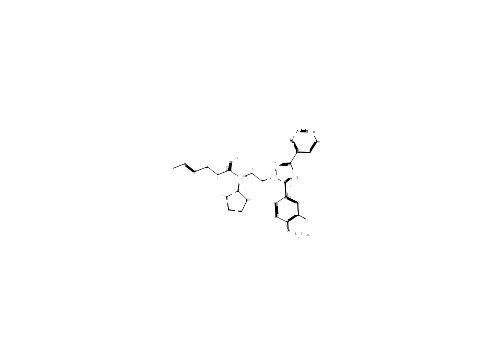 CC=CCCC(=O)N(CCn1nc(-c2ccncc2)nc1-c1ccc(OC)c(Cl)c1)C1CCCC1